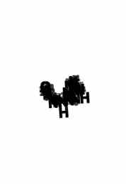 CNc1nc(Nc2ccc(CN3CCOCC3)nc2)cnc1-c1cncc2c1ncn2C